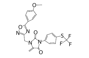 C=C1C(=O)N(c2ccc(SC(F)(F)F)cc2)C(=O)N1Cc1noc(-c2ccc(OC)cc2)n1